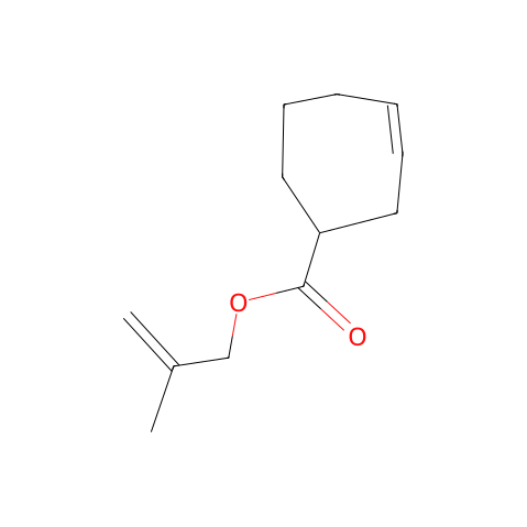 C=C(C)COC(=O)C1CC=CCCC1